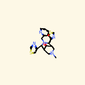 CN1CC2C(=O)C(C1)C(c1cscn1)N(Cc1ccccn1)C2c1cscn1